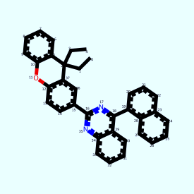 CCC1(CC)c2ccccc2Oc2ccc(-c3nc(-c4cccc5ccccc45)c4ccccc4n3)cc21